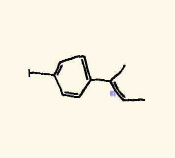 C/C=C(\C)c1ccc(I)cc1